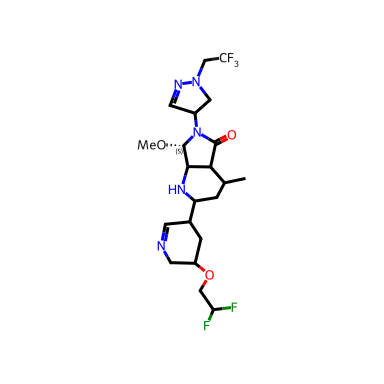 CO[C@H]1C2NC(C3C=NCC(OCC(F)F)C3)CC(C)C2C(=O)N1C1C=NN(CC(F)(F)F)C1